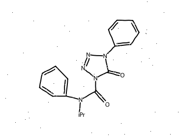 CC(C)N(C(=O)n1nnn(-c2ccccc2)c1=O)c1ccccc1